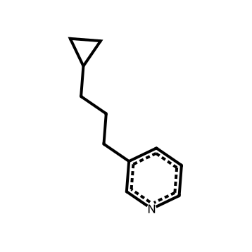 c1cncc(CCCC2CC2)c1